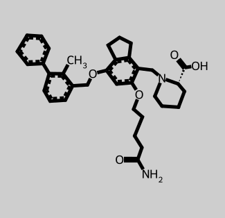 Cc1c(COc2cc(OCCCCC(N)=O)c(CN3CCCC[C@H]3C(=O)O)c3c2CCC3)cccc1-c1ccccc1